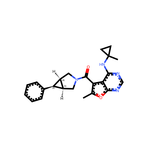 Cc1oc2ncnc(NC3(C)CC3)c2c1C(=O)N1C[C@@H]2[C@H](C1)[C@@H]2c1ccccc1